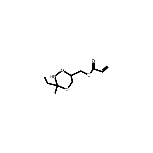 C=CC(=O)OCC1COC(C)(CC)NO1